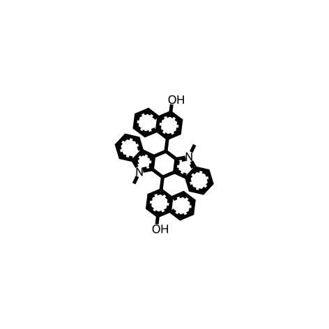 Cn1c2c(c3ccccc31)C(c1ccc(O)c3ccccc13)c1c(c3ccccc3n1C)C2c1ccc(O)c2ccccc12